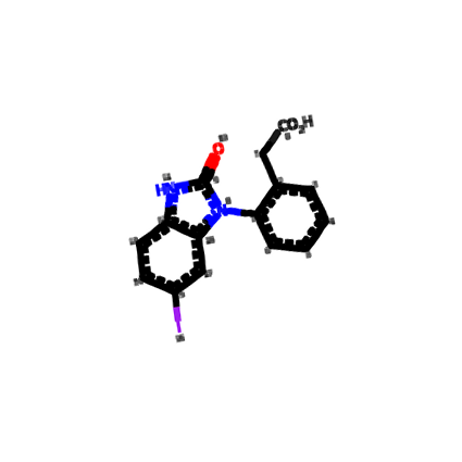 O=C(O)Cc1ccccc1-n1c(=O)[nH]c2ccc(I)cc21